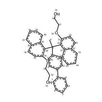 CC(c1ccc(-c2ccccc2)cc1)(c1c(OCCO)ccc2ccccc12)c1c(OCCO)ccc2ccccc12